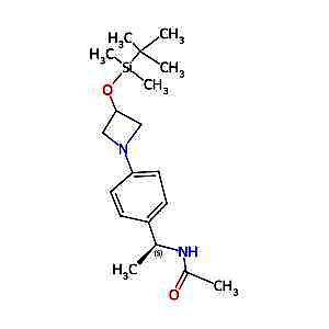 CC(=O)N[C@@H](C)c1ccc(N2CC(O[Si](C)(C)C(C)(C)C)C2)cc1